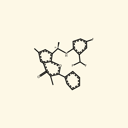 Cc1cc([C@@H](C)Nc2ccc(F)cc2C(F)F)c2oc(-c3ccccc3)c(C)c(=O)c2c1